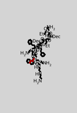 CCCCCCCCCCN(CC(=O)N(CC(=O)N(CCCCCCCCCC)CC(=O)N(CC(N)=O)CC(CC)CCCC)CC(CC)CCCC)C(=O)CN(CCc1ccccc1)C(=O)CN(CCc1ccccc1)C(=O)CN(CCN)C(=O)CN(CCc1ccccc1)C(=O)CN(CCc1ccccc1)C(=O)CN(CCN)C(=O)CNCCCNCCCN